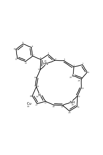 C1=Cc2cc3cc(-c4ccccc4)c(cc4nc(cc5ccc(cc1n2)[nH]5)C=C4)[nH]3.[Cu]